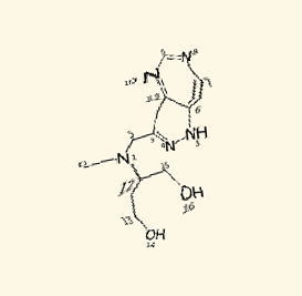 CN(Cc1n[nH]c2cncnc12)C(CO)CO